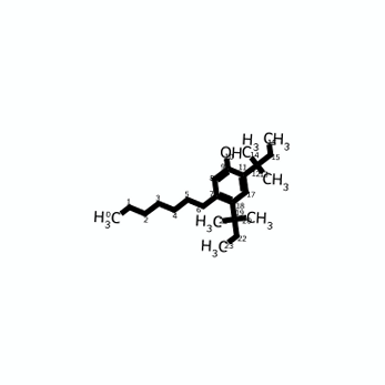 CCCCCCCc1cc(O)c(C(C)(C)CC)cc1C(C)(C)CC